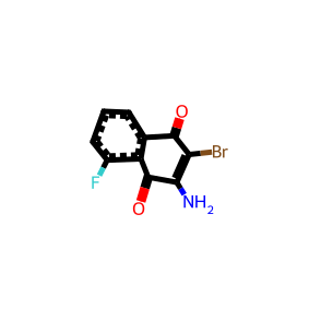 NC1=C(Br)C(=O)c2cccc(F)c2C1=O